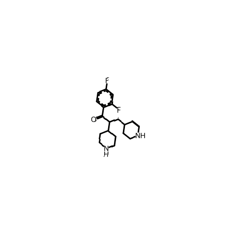 O=C(c1ccc(F)cc1F)C([CH]C1CCNCC1)C1CCNCC1